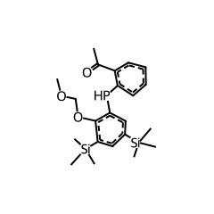 COCOc1c(Pc2ccccc2C(C)=O)cc([Si](C)(C)C)cc1[Si](C)(C)C